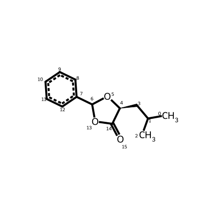 CC(C)C[C@@H]1OC(c2ccccc2)OC1=O